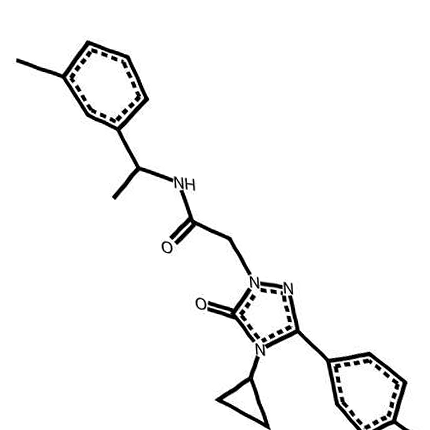 Cc1cccc(C(C)NC(=O)Cn2nc(-c3ccc(Cl)cc3)n(C3CC3)c2=O)c1